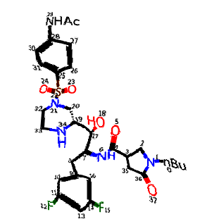 CCCCN1CC(C(=O)NC(Cc2cc(F)cc(F)c2)[C@H](O)[C@H]2CN(S(=O)(=O)c3ccc(NC(C)=O)cc3)CCN2)CC1=O